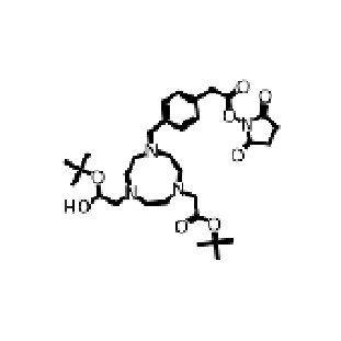 CC(C)(C)OC(=O)CN1CCN(Cc2ccc(CC(=O)ON3C(=O)CCC3=O)cc2)CCN(CC(O)OC(C)(C)C)CC1